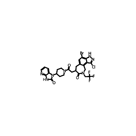 O=C(CC1Cc2cc(Br)c3[nH]nc(Cl)c3c2CN(CC(F)(F)F)C1=O)N1CCC(n2c(=O)[nH]c3ncccc32)CC1